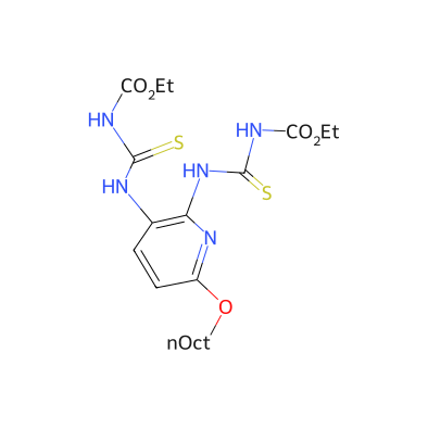 CCCCCCCCOc1ccc(NC(=S)NC(=O)OCC)c(NC(=S)NC(=O)OCC)n1